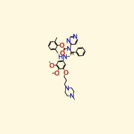 COc1cc(NC[C@@H](c2ccccc2)N(C(=O)Oc2c(C)cccc2C)c2ccncn2)cc(OCCCN2CCN(C)CC2)c1OC